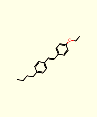 CCCCc1ccc(C=Cc2ccc(OCC)cc2)cc1